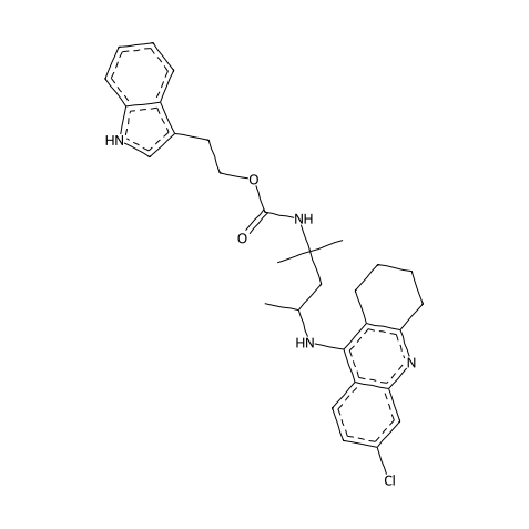 CC(CC(C)(C)NC(=O)OCCc1c[nH]c2ccccc12)Nc1c2c(nc3cc(Cl)ccc13)CCCC2